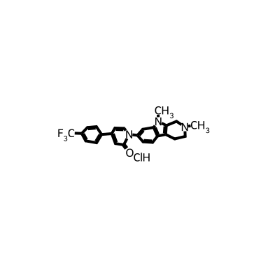 CN1CCc2c(n(C)c3cc(-n4ccc(-c5ccc(C(F)(F)F)cc5)cc4=O)ccc23)C1.Cl